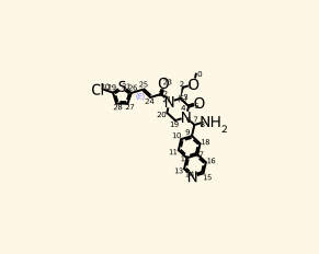 COC[C@H]1C(=O)N(C(N)c2ccc3cnccc3c2)CCN1C(=O)/C=C/c1ccc(Cl)s1